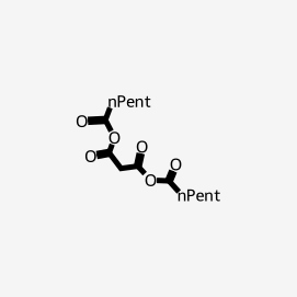 CCCCCC(=O)OC(=O)CC(=O)OC(=O)CCCCC